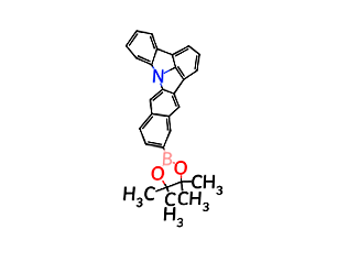 CC1(C)OB(c2ccc3cc4c(cc3c2)c2cccc3c5ccccc5n4c32)OC1(C)C